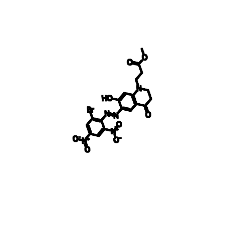 COC(=O)CCN1CCC(=O)c2cc(/N=N/c3c(Br)cc([N+](=O)[O-])cc3[N+](=O)[O-])c(O)cc21